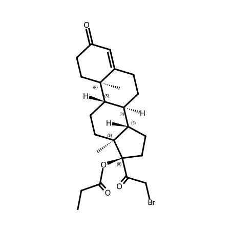 CCC(=O)O[C@]1(C(=O)CBr)CC[C@H]2[C@@H]3CCC4=CC(=O)CC[C@]4(C)[C@H]3CC[C@@]21C